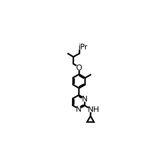 Cc1cc(-c2ccnc(NC3CC3)n2)ccc1OCC(C)CC(C)C